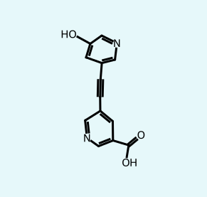 O=C(O)c1cncc(C#Cc2cncc(O)c2)c1